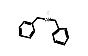 [I-].c1ccc([CH2][Al+][CH2]c2ccccc2)cc1